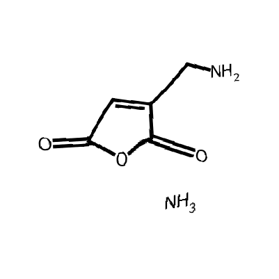 N.NCC1=CC(=O)OC1=O